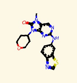 Cn1c(=O)n(C2CCOCC2)c2nc(Nc3ccc4ncsc4c3)ncc21